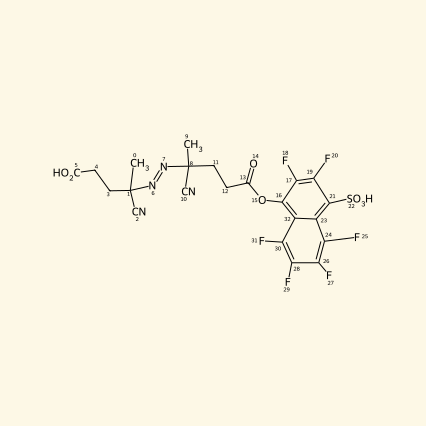 CC(C#N)(CCC(=O)O)N=NC(C)(C#N)CCC(=O)Oc1c(F)c(F)c(S(=O)(=O)O)c2c(F)c(F)c(F)c(F)c12